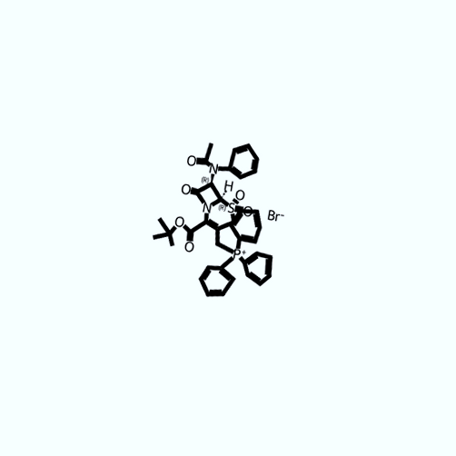 CC(=O)N(c1ccccc1)[C@@H]1C(=O)N2C(C(=O)OC(C)(C)C)=C(C[P+](c3ccccc3)(c3ccccc3)c3ccccc3)CS(=O)(=O)[C@H]12.[Br-]